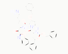 NCCCC[C@H](NC(=O)[C@@H]1[C@@H](OCC2CCCCC2)CCN1C(=O)[C@@H](CCc1ccccc1)NC(=O)OCc1ccccc1)C(=O)c1nc2ccccc2o1